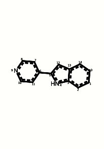 [c]1ccc2[nH]c(-c3ccncc3)cc2c1